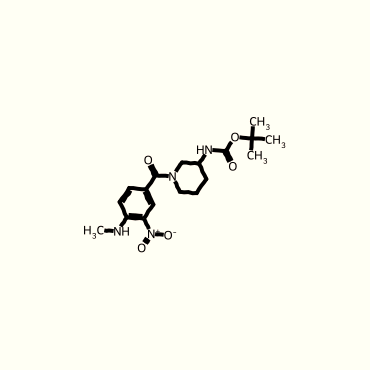 CNc1ccc(C(=O)N2CCCC(NC(=O)OC(C)(C)C)C2)cc1[N+](=O)[O-]